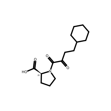 O=C(CCC1CCCCC1)C(=O)N1CCC[C@H]1C(=O)O